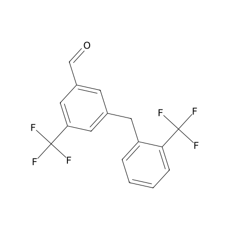 O=Cc1cc(Cc2ccccc2C(F)(F)F)cc(C(F)(F)F)c1